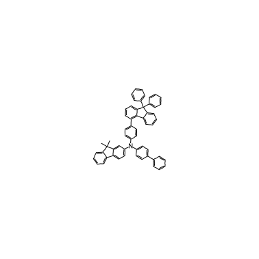 CC1(C)c2ccccc2-c2ccc(N(c3ccc(-c4ccccc4)cc3)c3ccc(-c4cccc5c4-c4ccccc4C5(c4ccccc4)c4ccccc4)cc3)cc21